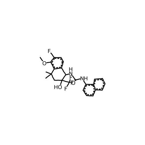 COc1c(F)ccc2c1C(C)(C)CC(O)(C(F)(F)F)C2NC(=O)Nc1cccc2ccccc12